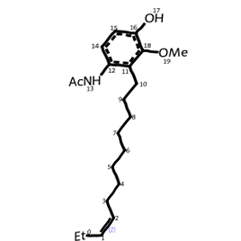 CC/C=C\CCCCCCCCc1c(NC(C)=O)ccc(O)c1OC